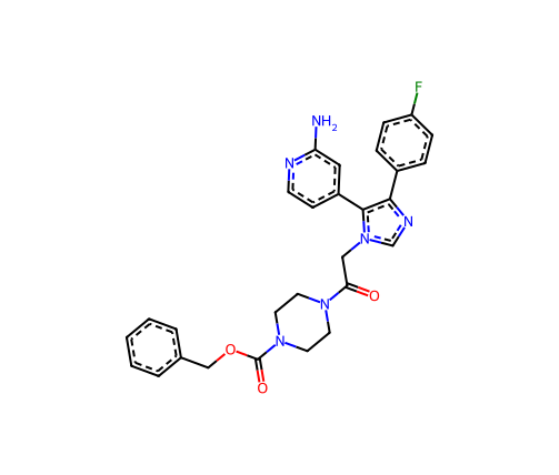 Nc1cc(-c2c(-c3ccc(F)cc3)ncn2CC(=O)N2CCN(C(=O)OCc3ccccc3)CC2)ccn1